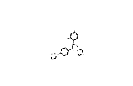 C[C@@H](c1ccc(-n2ccnn2)cc1)[C@](O)(Cn1cncn1)c1ccc(F)cc1F